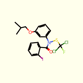 CC(C)COc1cccc(N(SC(F)(Cl)Cl)C(=O)c2ccccc2I)c1